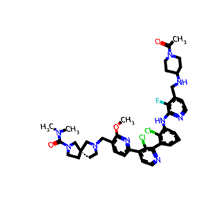 COc1nc(-c2ccnc(-c3cccc(Nc4nccc(CNC5CCN(C(C)=O)CC5)c4F)c3Cl)c2Cl)ccc1CN1CC[C@@]2(CCN(C(=O)N(C)C)C2)C1